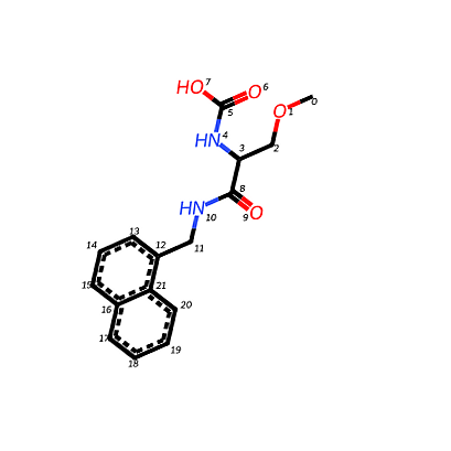 COCC(NC(=O)O)C(=O)NCc1cccc2ccccc12